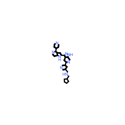 c1cc(-c2nccc3[nH]c(-c4n[nH]c5cnc(-c6cncc(CNCC7CCCC7)c6)cc45)cc23)ccn1